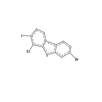 CCc1c(I)ccc2c1sc1cc(Br)ccc12